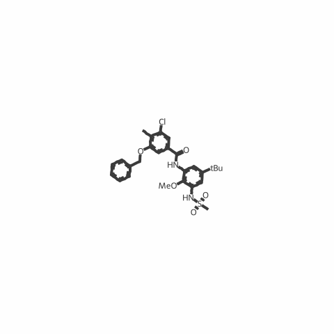 COc1c(NC(=O)c2cc(Cl)c(C)c(OCc3ccccc3)c2)cc(C(C)(C)C)cc1NS(C)(=O)=O